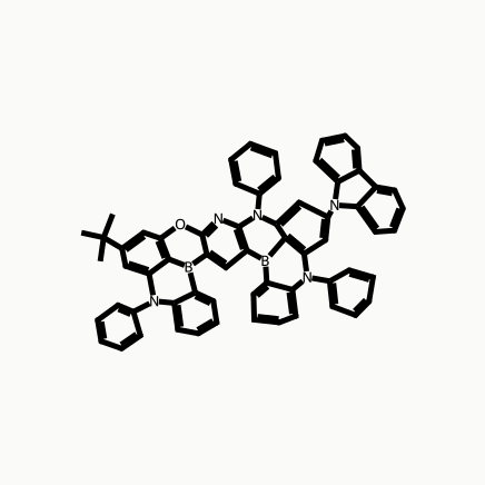 CC(C)(C)c1cc2c3c(c1)N(c1ccccc1)c1ccccc1B3c1cc3c(nc1O2)N(c1ccccc1)c1cc(-n2c4ccccc4c4ccccc42)cc2c1B3c1ccccc1N2c1ccccc1